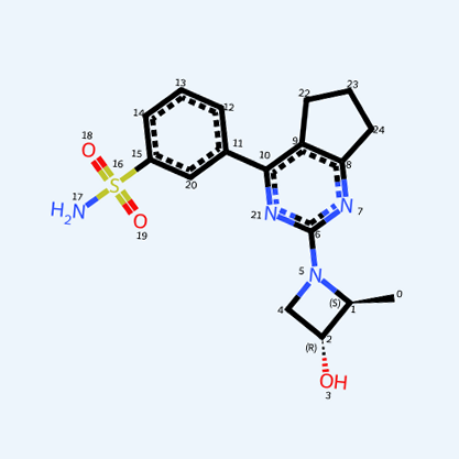 C[C@H]1[C@H](O)CN1c1nc2c(c(-c3cccc(S(N)(=O)=O)c3)n1)CCC2